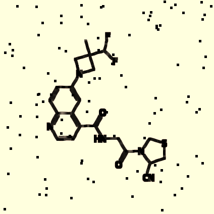 CC1(C(F)F)CN(c2ccc3nccc(C(=O)NCC(=O)N4CSCC4C#N)c3c2)C1